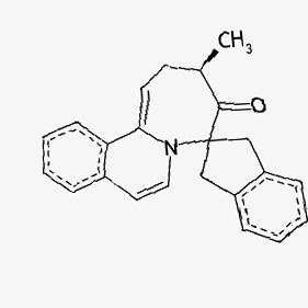 C[C@@H]1CC=C2c3ccccc3C=CN2C2(Cc3ccccc3C2)C1=O